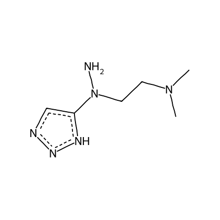 CN(C)CCN(N)c1cnn[nH]1